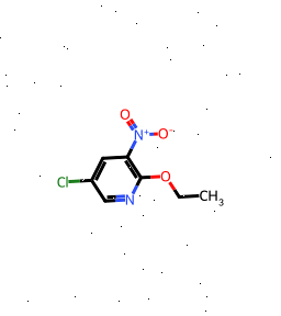 CCOc1ncc(Cl)cc1[N+](=O)[O-]